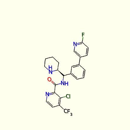 O=C(NC(c1cccc(-c2ccc(F)nc2)c1)[C@@H]1CCCCN1)c1nccc(C(F)(F)F)c1Cl